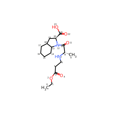 CCOC(=O)CCN[C@@H](C)C(=O)N1C2CCCCC2C[C@H]1C(=O)O